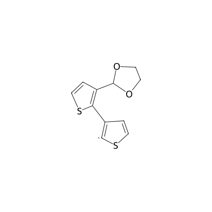 [c]1sccc1-c1sccc1C1OCCO1